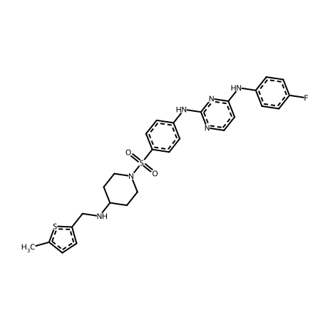 Cc1ccc(CNC2CCN(S(=O)(=O)c3ccc(Nc4nccc(Nc5ccc(F)cc5)n4)cc3)CC2)s1